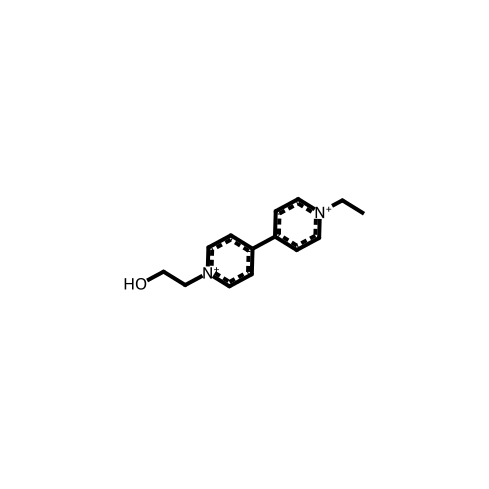 CC[n+]1ccc(-c2cc[n+](CCO)cc2)cc1